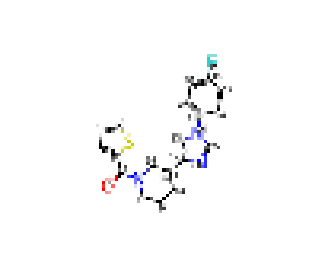 O=C(c1cccs1)N1CCC[C@H](c2cn(-c3ccc(F)cc3)cn2)C1